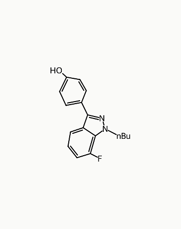 CCCCn1nc(-c2ccc(O)cc2)c2cccc(F)c21